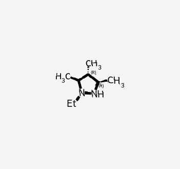 CCN1N[C@H](C)[C@@H](C)C1C